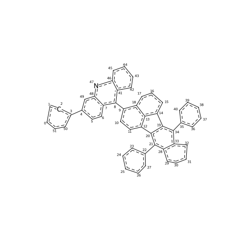 c1ccc(-c2ccc3c(-c4ccc5c6c(cccc46)-c4c-5c(-c5ccccc5)c5ccccc5c4-c4ccccc4)c4ccccc4nc3c2)cc1